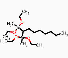 CCCCCCCC([Si](C)(OCC)OCC)[Si](C)(OCC)OCC